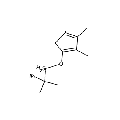 CC1=[C]CC(O[SiH2]C(C)(C)C(C)C)=C1C